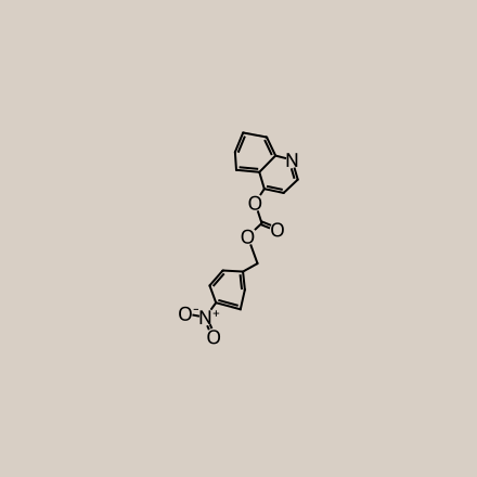 O=C(OCc1ccc([N+](=O)[O-])cc1)Oc1ccnc2ccccc12